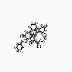 CC[C@@H]1/C=C/COc2cc(F)ccc2[C@H](c2ccccc2)N2CN1C(=O)c1c(OCc3ccccc3)c(=O)ccn12